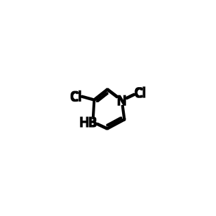 ClC1=CN(Cl)C=CB1